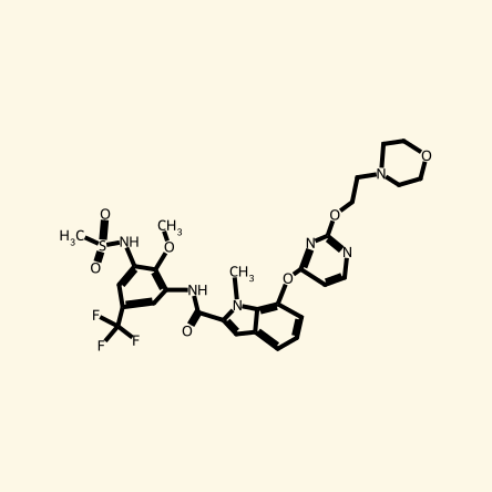 COc1c(NC(=O)c2cc3cccc(Oc4ccnc(OCCN5CCOCC5)n4)c3n2C)cc(C(F)(F)F)cc1NS(C)(=O)=O